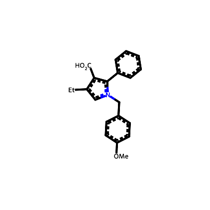 CCc1cn(Cc2ccc(OC)cc2)c(-c2ccccc2)c1C(=O)O